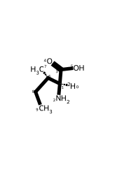 [2H][C@@](N)(C(=O)O)[C@@H](C)CC